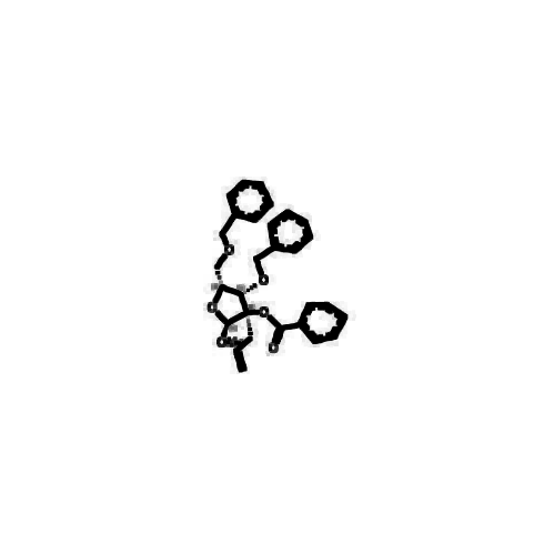 C=CC[C@]1(OC(=O)c2ccccc2)[C@@H](OC)O[C@H](COCc2ccccc2)[C@@H]1OCc1ccccc1